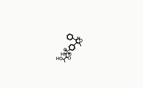 Cc1onc(-c2ccccc2)c1-c1ccc(S(=O)(=O)NC(=O)C(C)O)cc1